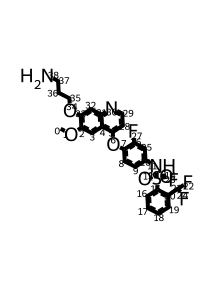 COc1cc2c(Oc3ccc(NS(=O)(=O)c4ccccc4C(F)(F)F)cc3F)ccnc2cc1OCCCN